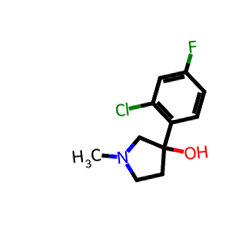 CN1CCC(O)(c2ccc(F)cc2Cl)C1